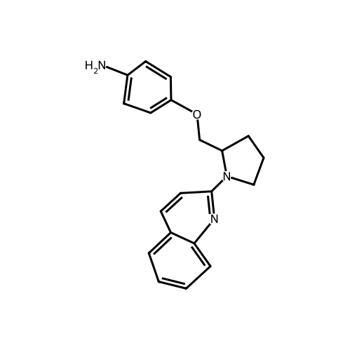 Nc1ccc(OCC2CCCN2c2ccc3ccccc3n2)cc1